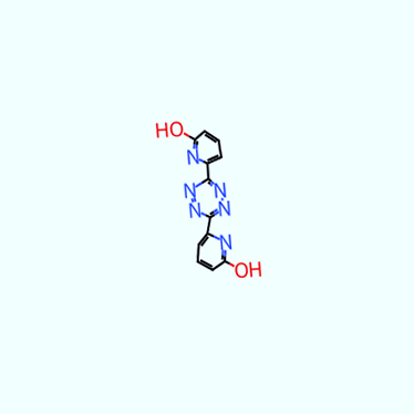 Oc1cccc(-c2nnc(-c3cccc(O)n3)nn2)n1